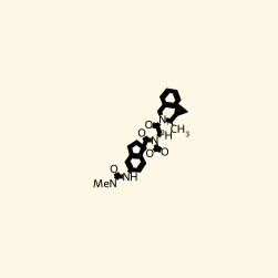 [2H]C(C(=O)N(Cc1ccccc1)[C@@H](C)C1CC1)N1C(=O)OC2(CCc3cc(NC(=O)NC)ccc32)C1=O